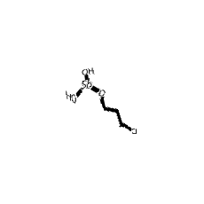 [OH][Sb]([OH])[O]CCCCl